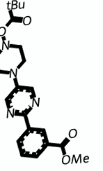 COC(=O)c1cccc(-c2ncc(N3CCN(OC(=O)C(C)(C)C)CC3)cn2)c1